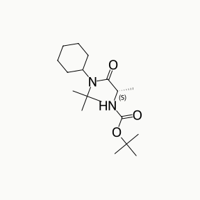 C[C@H](NC(=O)OC(C)(C)C)C(=O)N(C1CCCCC1)C(C)(C)C